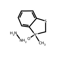 C[N+]1([O-])CSc2ccccc21.NN